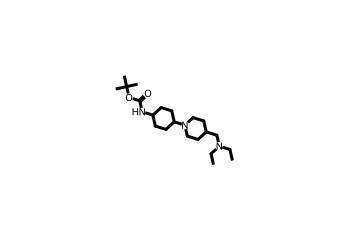 CCN(CC)CC1CCN(C2CCC(NC(=O)OC(C)(C)C)CC2)CC1